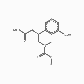 COC(=O)C[C@H](CN(C)C(=O)OC(C)(C)C)c1cncc(OC)c1